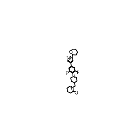 O=C1CCCCN1CC1CCN(c2c(F)cc(-c3cnn(C4CCCCO4)c3)cc2F)CC1